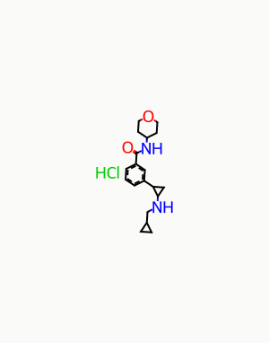 Cl.O=C(NC1CCOCC1)c1cccc(C2CC2NCC2CC2)c1